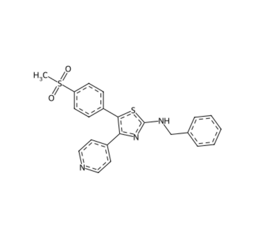 CS(=O)(=O)c1ccc(-c2sc(NCc3ccccc3)nc2-c2ccncc2)cc1